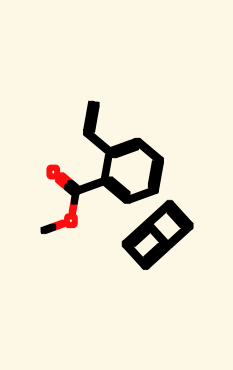 C=Cc1ccccc1C(=O)OC.c1cc2ccc1-2